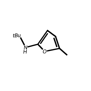 Cc1ccc(NC(C)(C)C)o1